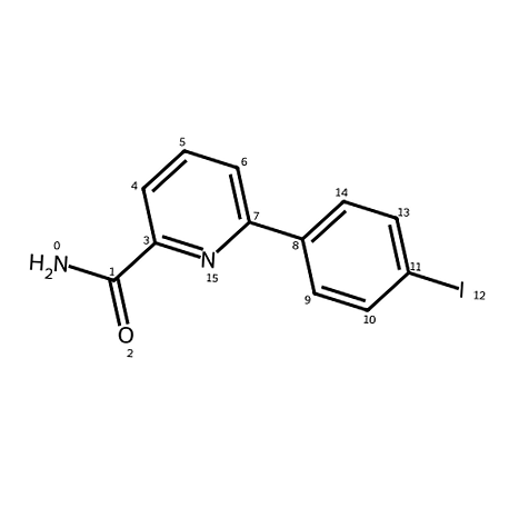 NC(=O)c1cccc(-c2ccc(I)cc2)n1